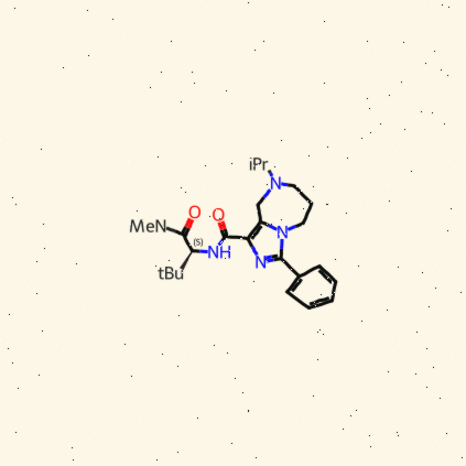 CNC(=O)[C@@H](NC(=O)c1nc(-c2ccccc2)n2c1CN(C(C)C)CCC2)C(C)(C)C